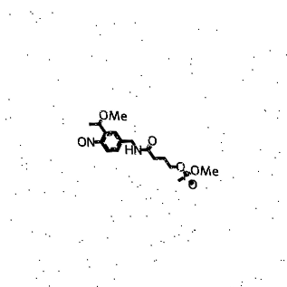 COC(C)c1cc(CNC(=O)CCCOP(C)(=O)OC)ccc1N=O